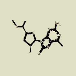 COC(C)[C@@H]1C[C@H](C)[C@H](n2c(=O)sc3c(C)nc(N)nc32)O1